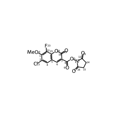 COc1c(Cl)cc2cc(C(=O)ON3C(=O)CCC3=O)c(=O)oc2c1F